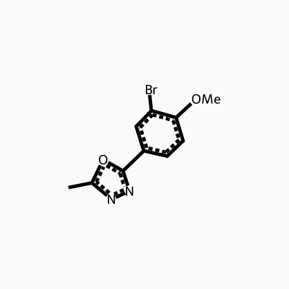 COc1ccc(-c2nnc(C)o2)cc1Br